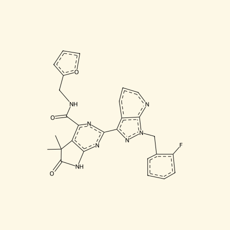 CC1(C)C(=O)Nc2nc(-c3nn(Cc4ccccc4F)c4ncccc34)nc(C(=O)NCc3ccco3)c21